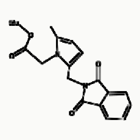 Cc1ccc(CN2C(=O)c3ccccc3C2=O)n1CC(=O)OC(C)(C)C